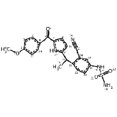 COc1ccc(C(=O)c2ccc(C(C)c3ccc(NS(N)(=O)=O)cc3C#N)[nH]2)cc1